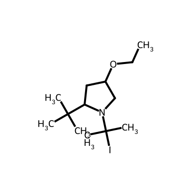 CCOC1CC(C(C)(C)C)N(C(C)(C)I)C1